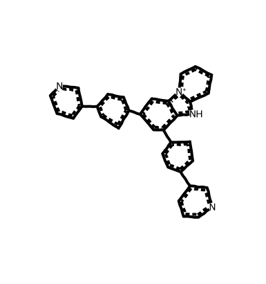 c1cncc(-c2ccc(-c3cc(-c4ccc(-c5cccnc5)cc4)c4[nH]c5cccc[n+]5c4c3)cc2)c1